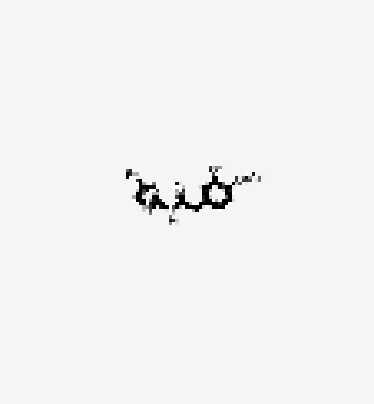 COc1ccc(CC(=O)Nc2ncc(C(C)C)s2)cc1Br